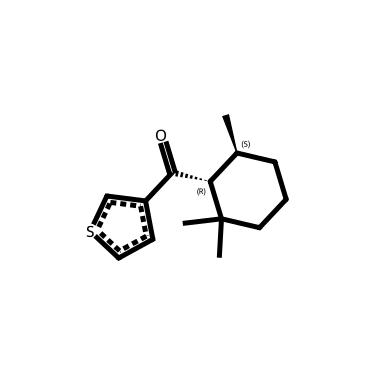 C[C@H]1CCCC(C)(C)[C@@H]1C(=O)c1ccsc1